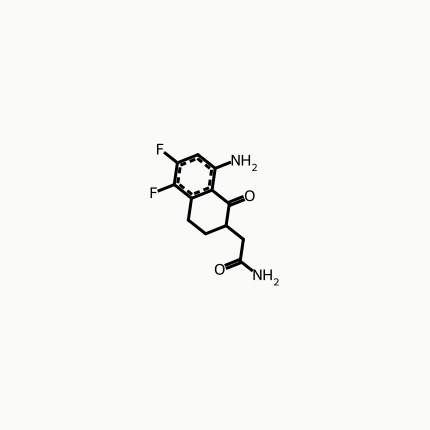 NC(=O)CC1CCc2c(F)c(F)cc(N)c2C1=O